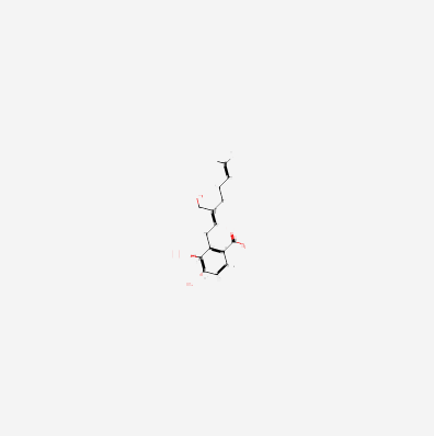 CC(C)=CCC/C(=C/Cc1c(C(=O)O)ccc(O)c1O)CO